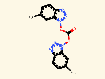 O=C(On1nnc2ccc(C(F)(F)F)cc21)On1nnc2ccc(C(F)(F)F)cc21